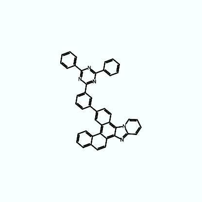 c1ccc(-c2nc(-c3ccccc3)nc(-c3cccc(-c4ccc5c(c4)c4c6ccccc6ccc4c4nc6ccccn6c54)c3)n2)cc1